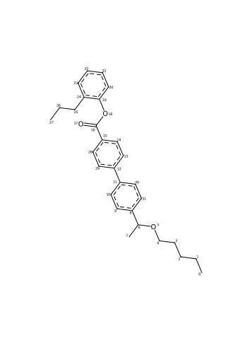 CCCCCOC(C)c1ccc(-c2ccc(C(=O)Oc3ccccc3CCC)cc2)cc1